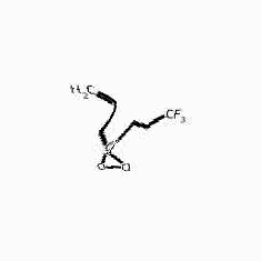 C=CC[Si]1(CCC(F)(F)F)OO1